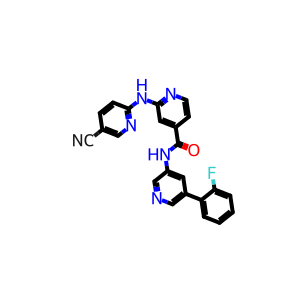 N#Cc1ccc(Nc2cc(C(=O)Nc3cncc(-c4ccccc4F)c3)ccn2)nc1